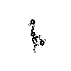 CN(CCc1ccccc1Cl)C(=O)C1=C(c2ccc(CCCOc3ccccc3Cl)cc2)CC2CN(C(=O)COC=O)CC1N2